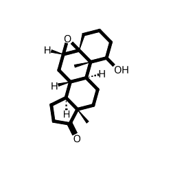 C[C@]12CC[C@H]3[C@@H](C[C@@H]4O[C@@]45CCCC(O)[C@]35C)[C@@H]1CCC2=O